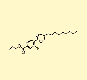 CCCCCCCCCC1COC(c2ccc(C(=O)OCCC)cc2F)OC1